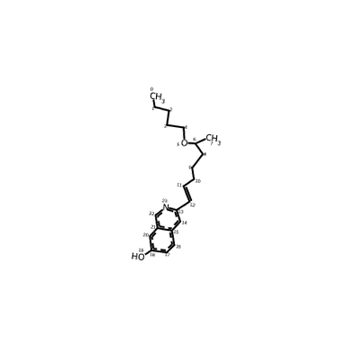 CCCCCOC(C)CCC/C=C/c1cc2ccc(O)cc2cn1